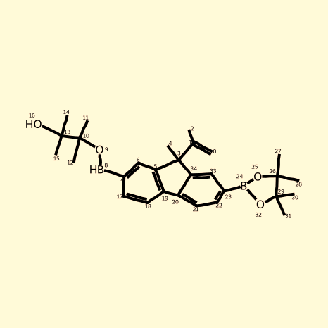 C=C(C)C1(C)c2cc(BOC(C)(C)C(C)(C)O)ccc2-c2ccc(B3OC(C)(C)C(C)(C)O3)cc21